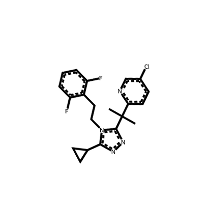 CC(C)(c1ccc(Cl)cn1)c1nnc(C2CC2)n1CCc1c(F)cccc1F